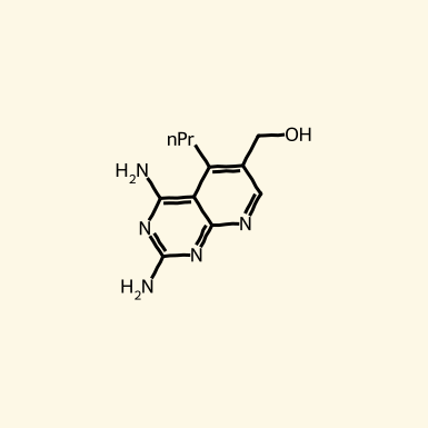 CCCc1c(CO)cnc2nc(N)nc(N)c12